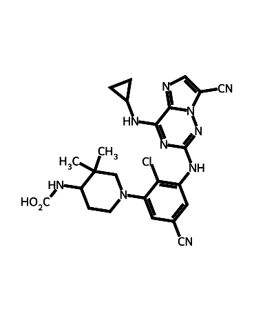 CC1(C)CN(c2cc(C#N)cc(Nc3nc(NC4CC4)c4ncc(C#N)n4n3)c2Cl)CCC1NC(=O)O